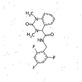 CN1C(=O)N(C)C(C(=O)NCc2c(F)cc(F)cc2F)c2ccccc21